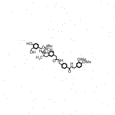 COc1ccc(CNC(=O)c2ccc(CNC(=O)Cc3cccc(C[C@@H](C)NC[C@@H](O[Si](C)(C)C(C)(C)C)c4ccc(O)c(CO)c4)c3)cc2)cc1OC